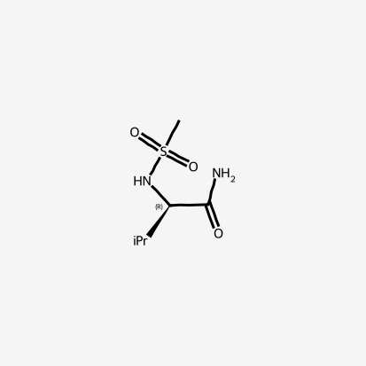 CC(C)[C@@H](NS(C)(=O)=O)C(N)=O